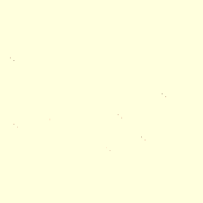 Cc1cc(-c2ccncc2C#N)cc(C)c1Oc1nc(Nc2ccc(C#N)cc2)nc2c(Cl)cn(C)c12